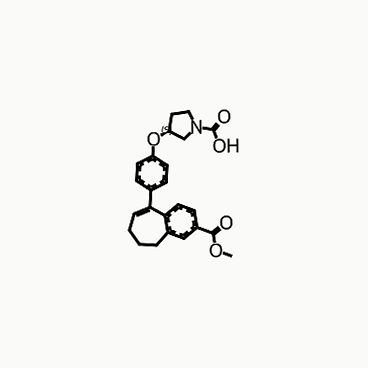 COC(=O)c1ccc2c(c1)CCCC=C2c1ccc(O[C@H]2CCN(C(=O)O)C2)cc1